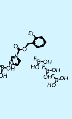 CCc1ccccc1COC(=O)n1ccnc1.OB(O)F.OB(O)F.OB(O)F.OB(O)F